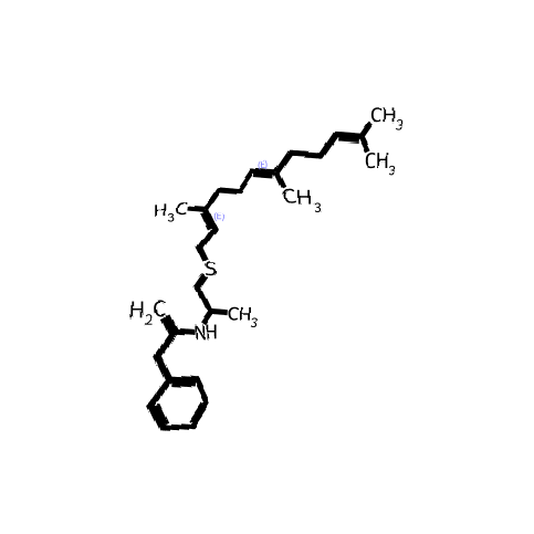 C=C(Cc1ccccc1)NC(C)CSC/C=C(\C)CC/C=C(\C)CCC=C(C)C